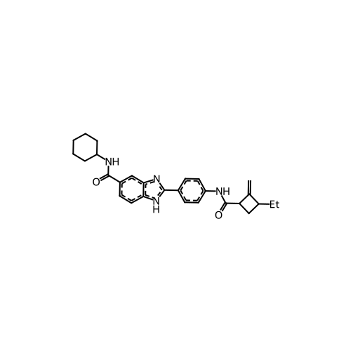 C=C1C(CC)CC1C(=O)Nc1ccc(-c2nc3cc(C(=O)NC4CCCCC4)ccc3[nH]2)cc1